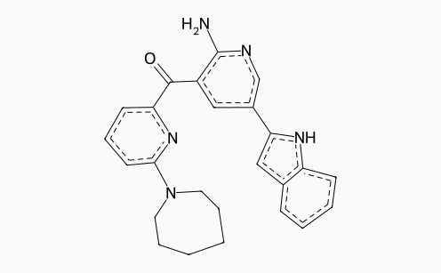 Nc1ncc(-c2cc3ccccc3[nH]2)cc1C(=O)c1cccc(N2CCCCCC2)n1